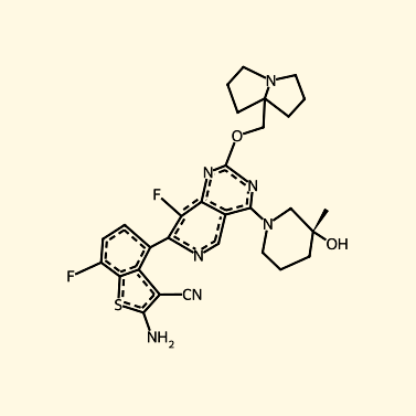 C[C@@]1(O)CCCN(c2nc(OCC34CCCN3CCC4)nc3c(F)c(-c4ccc(F)c5sc(N)c(C#N)c45)ncc23)C1